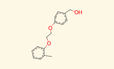 Cc1ccccc1OCCOc1ccc(CO)cc1